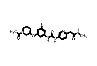 CNC(=O)Cc1ccc(NC(=O)Nc2cc(F)cc(OC3CCCN(C(C)=O)C3)c2)cn1